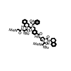 CNCC(=O)NC(C(=O)N1Cc2ccccc2CC1C(=O)N(Cc1cccc(C(=O)N[C@H]2C[C@@H](C(=O)N[C@@H]3CCCc4ccccc43)N(C(=O)[C@@H](NC)C(C)(C)C)C2)c1)[C@@H](COC)c1ccccc1)C(C)(C)C